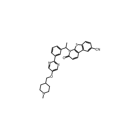 CC(c1cccc(-c2ncc(OCC3CCN(C)CC3)cn2)c1)n1c(=O)ccc2c3cc(C#N)ccc3sc21